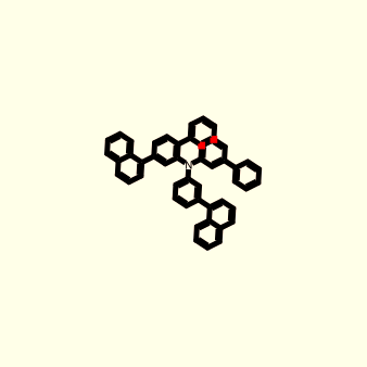 c1ccc(-c2cccc(N(c3cccc(-c4cccc5ccccc45)c3)c3cc(-c4cccc5ccccc45)ccc3-c3ccccc3)c2)cc1